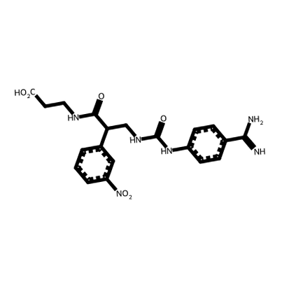 N=C(N)c1ccc(NC(=O)NCC(C(=O)NCCC(=O)O)c2cccc([N+](=O)[O-])c2)cc1